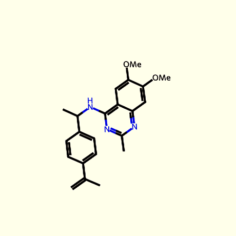 C=C(C)c1ccc(C(C)Nc2nc(C)nc3cc(OC)c(OC)cc23)cc1